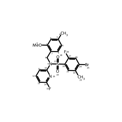 COc1cc(C)ccc1CN(c1cccc(F)n1)S(=O)(=O)c1cc(C)c(Br)cc1F